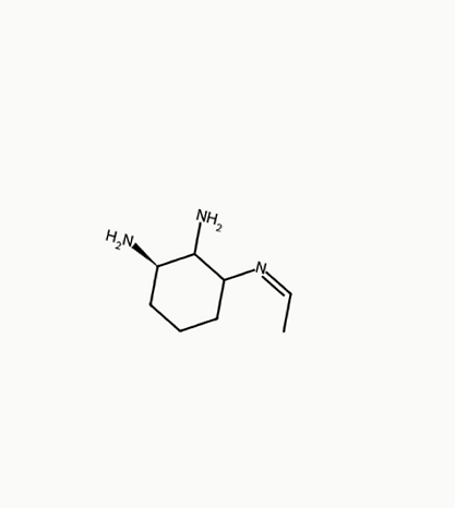 C/C=N\C1CCC[C@@H](N)C1N